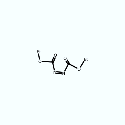 CCOC(=O)/N=N\C(=O)OCC